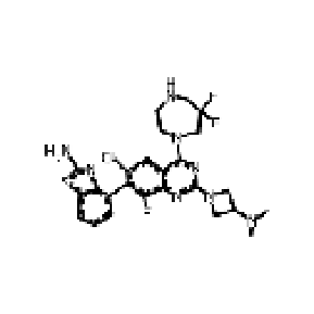 CN(C)C1CN(c2nc(N3CCNCC(F)(F)C3)c3cc(Cl)c(-c4cccc5sc(N)nc45)c(F)c3n2)C1